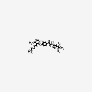 C=c1ncnc(Oc2ccc(NC(=O)Nc3cc(C(C)(C)C)on3)cc2F)/c1=C/COCCOC